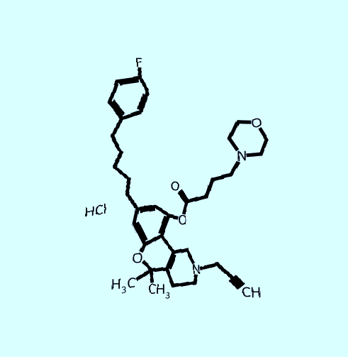 C#CCN1CCC2=C(C1)c1c(OC(=O)CCCN3CCOCC3)cc(CCCCCc3ccc(F)cc3)cc1OC2(C)C.Cl